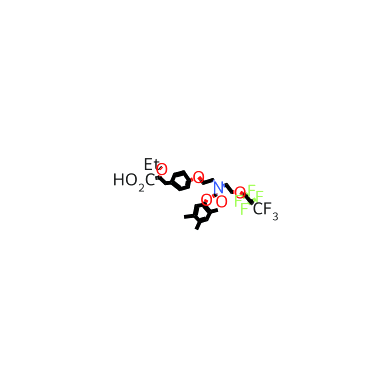 CCOC(Cc1ccc(OCCN(CCOC(F)(F)C(F)(F)C(F)(F)F)C(=O)Oc2cc(C)c(C)cc2C)cc1)C(=O)O